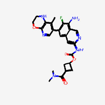 Cc1c(-c2cc3cc(NC(=O)OC4CC(C(=O)N(C)C)C4)ncc3c(N)c2F)cnc2c1NCCO2